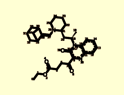 CCOC(=O)CCC(=O)c1nc2ccccc2n([C@@H](C)C[C@@H]2CCCCN2C=C2C3CCCC2C3)c1=O